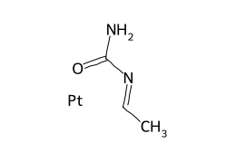 CC=NC(N)=O.[Pt]